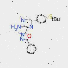 CN1CC(c2ccc(SC(C)(C)C)cc2)=NC(C2OC(c3ccccc3)=NN2C)=C1N